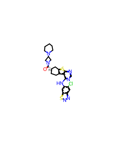 O=C([C@H]1CCc2c(sc3ncnc(Nc4cc5snnc5cc4Cl)c23)C1)N1CC(N2CCCCC2)C1